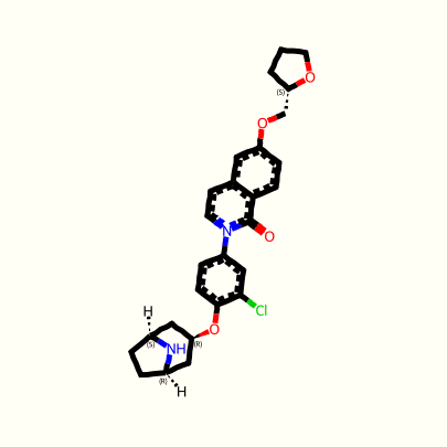 O=c1c2ccc(OC[C@@H]3CCCO3)cc2ccn1-c1ccc(O[C@H]2C[C@H]3CC[C@@H](C2)N3)c(Cl)c1